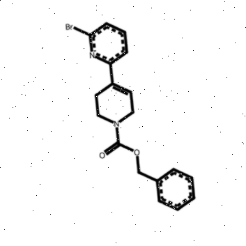 O=C(OCc1ccccc1)N1CC=C(c2cccc(Br)n2)CC1